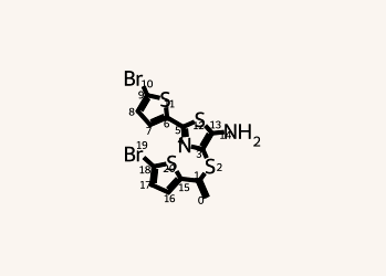 C=C(Sc1nc(-c2ccc(Br)s2)sc1N)c1ccc(Br)s1